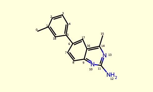 Cc1cccc(-c2ccc3nc(N)nc(C)c3c2)c1